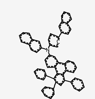 c1ccc(-c2cc(-c3ccccc3)c3c4ccccc4c4cc(N(c5ccc(-c6ccc7ccccc7c6)cc5)c5ccc6ccccc6c5)ccc4c3c2-c2ccccc2)cc1